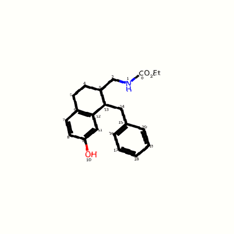 CCOC(=O)NCC1CCc2ccc(O)cc2C1Cc1ccccc1